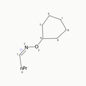 CCC/[C]=N\OC1CCCCC1